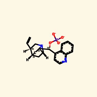 C=C[C@H]1CN2CC[C@H]1C[C@H]2[C@H](O[I+3]([O-])([O-])[O-])c1ccnc2ccccc12